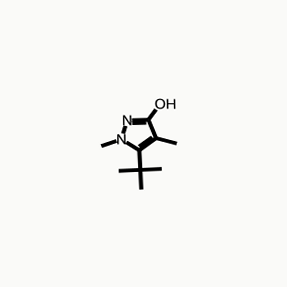 Cc1c(O)nn(C)c1C(C)(C)C